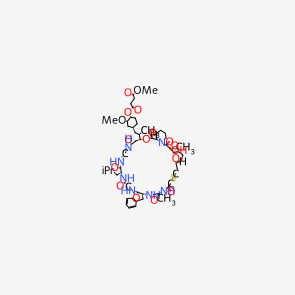 COC(=O)CCC(=O)O[C@@H]1CC[C@@H](C[C@@H](C)[C@@H]2CC(=O)NCCNC(=O)[C@H](CC(C)C)NC(=O)CNC(=O)[C@H](Cc3ccccc3)NC(=O)[C@H](C)NC(=O)CSCC[C@@H]3CC[C@@H](C)[C@@](O)(O3)C(=O)C(=O)N3CCCC[C@H]3C(=O)O2)C[C@H]1OC